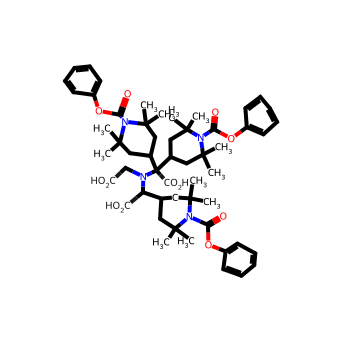 CC1(C)CC(C(C(=O)O)N(CC(=O)O)C(C(=O)O)(C2CC(C)(C)N(C(=O)Oc3ccccc3)C(C)(C)C2)C2CC(C)(C)N(C(=O)Oc3ccccc3)C(C)(C)C2)CC(C)(C)N1C(=O)Oc1ccccc1